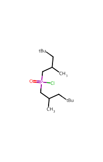 CC(CC(C)(C)C)CP(=O)(Cl)CC(C)CC(C)(C)C